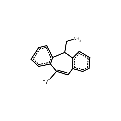 CC1=Cc2ccccc2C(CN)c2ccccc21